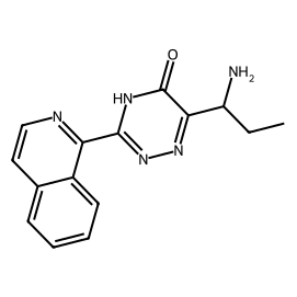 CCC(N)c1nnc(-c2nccc3ccccc23)[nH]c1=O